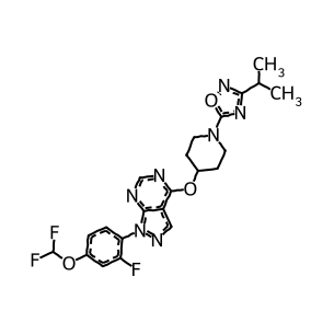 CC(C)c1noc(N2CCC(Oc3ncnc4c3cnn4-c3ccc(OC(F)F)cc3F)CC2)n1